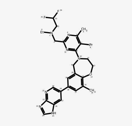 CCN(Cc1nc(C)c(C(C)C)c(N2CCOc3c(C)cc(-c4cnc5nc[nH]c5c4)cc3C2)n1)CC(F)F